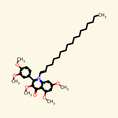 CCCCCCCCCCCCCCCCC=Cn1c(-c2ccc(OC)c(OC)c2)c(OC)c(=O)c2c(OC)cc(OC)cc21